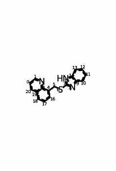 c1cnc2c(CSc3nc4ccccc4[nH]3)cccc2c1